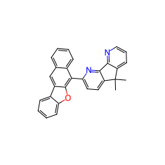 CC1(C)c2cccnc2-c2nc(-c3c4ccccc4cc4c3oc3ccccc34)ccc21